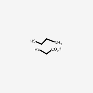 NCCS.O=C(O)CS